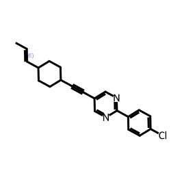 C/C=C/C1CCC(C#Cc2cnc(-c3ccc(Cl)cc3)nc2)CC1